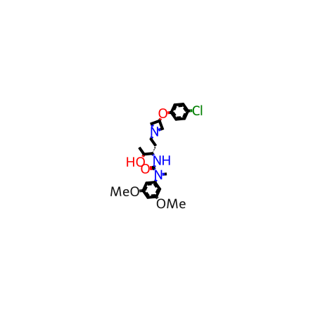 COc1cc(OC)cc(N(C)C(=O)N[C@@H](CCN2CC(Oc3ccc(Cl)cc3)C2)C(C)O)c1